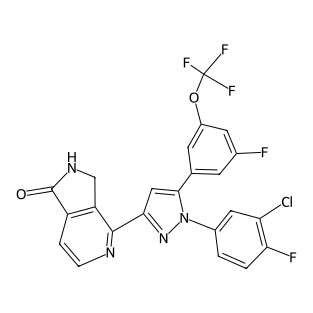 O=C1NCc2c1ccnc2-c1cc(-c2cc(F)cc(OC(F)(F)F)c2)n(-c2ccc(F)c(Cl)c2)n1